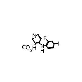 O=C(O)c1cnccc1Nc1ccc(I)cc1F